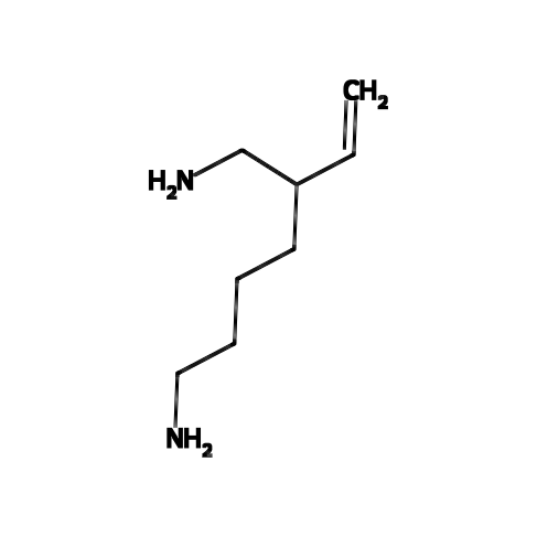 C=CC(CN)CCCCN